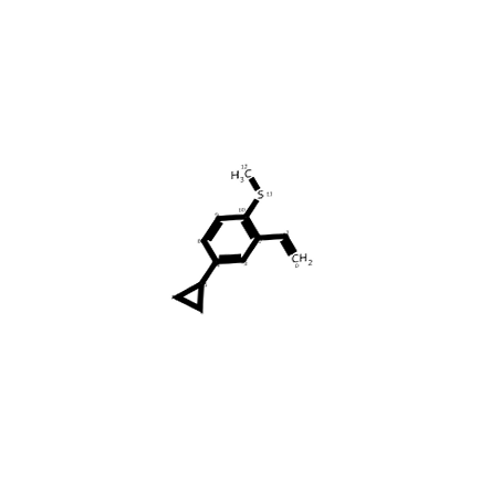 C=[C]c1cc(C2CC2)ccc1SC